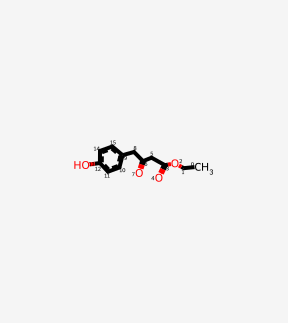 CCOC(=O)CC(=O)Cc1ccc(O)cc1